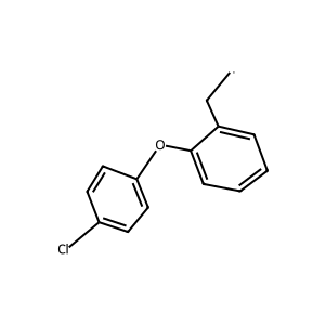 [CH2]Cc1ccccc1Oc1ccc(Cl)cc1